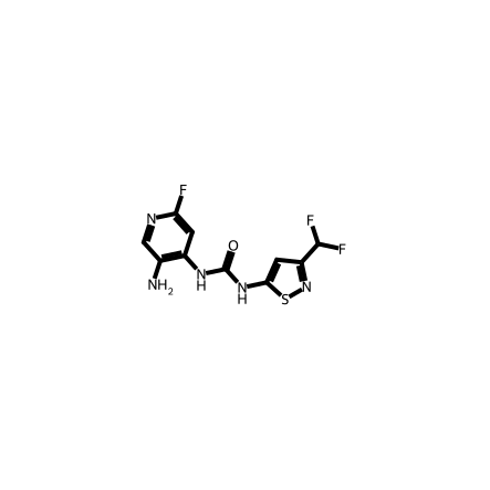 Nc1cnc(F)cc1NC(=O)Nc1cc(C(F)F)ns1